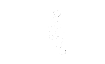 C1=Cc2cc3c(cc2S2(c4cc5oc6ccccc6c5cc41)c1ccccc1-c1ccccc12)oc1ccccc13